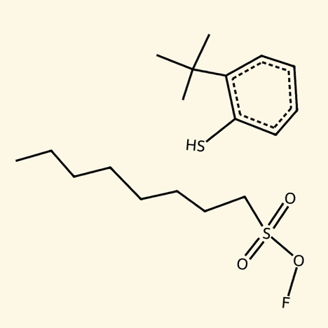 CC(C)(C)c1ccccc1S.CCCCCCCCS(=O)(=O)OF